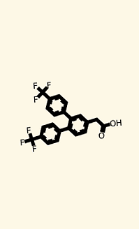 O=C(O)Cc1ccc(-c2ccc(C(F)(F)F)cc2)c(-c2ccc(C(F)(F)F)cc2)c1